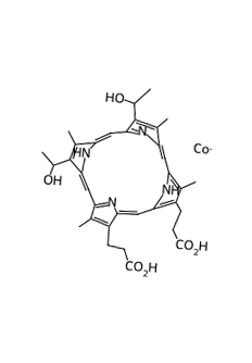 CC1=C(CCC(=O)O)c2cc3[nH]c(cc4nc(cc5[nH]c(cc1n2)c(C(C)O)c5C)C(C(C)O)=C4C)c(C)c3CCC(=O)O.[Co]